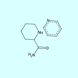 NC(=O)C1CCCCN1.c1ccncc1